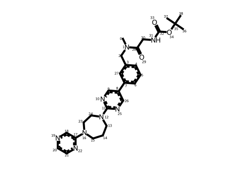 CN(Cc1cccc(-c2cnc(N3CCCN(c4cnccn4)CC3)nc2)c1)C(=O)CNC(=O)OC(C)(C)C